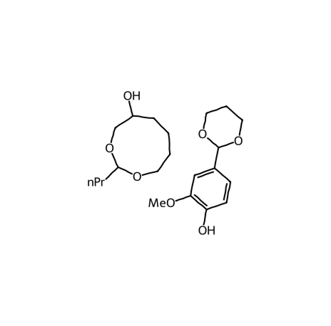 CCCC1OCCCCC(O)CO1.COc1cc(C2OCCCO2)ccc1O